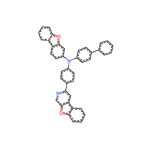 c1ccc(-c2ccc(N(c3ccc(-c4cc5c(cn4)oc4ccccc45)cc3)c3ccc4c(c3)oc3ccccc34)cc2)cc1